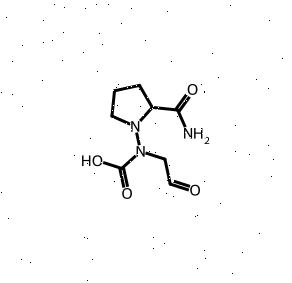 NC(=O)C1CCCN1N(CC=O)C(=O)O